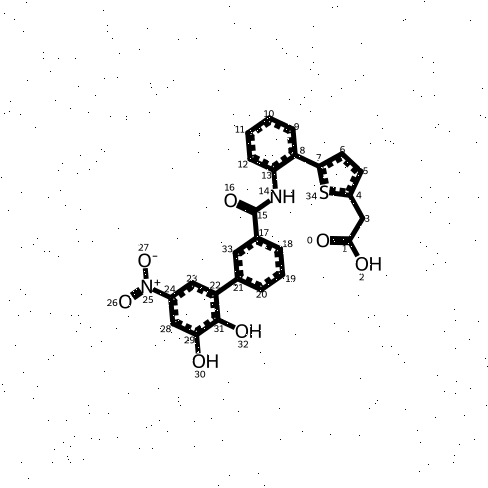 O=C(O)Cc1ccc(-c2ccccc2NC(=O)c2cccc(-c3cc([N+](=O)[O-])cc(O)c3O)c2)s1